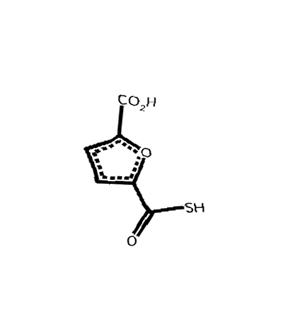 O=C(O)c1ccc(C(=O)S)o1